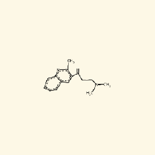 Cc1nc2ccccc2cc1NCCN(C)C